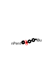 CCCCCc1ccc(OC(=O)C2CCC(C3CCC(CC(C)CC)CC3)CC2)cc1